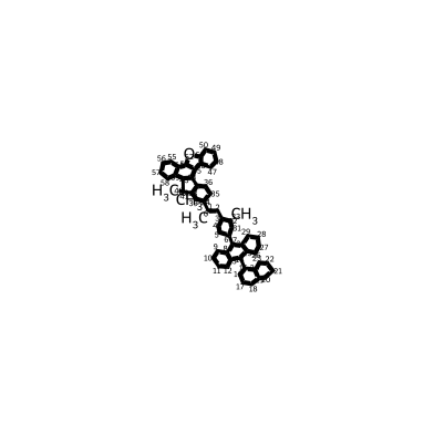 C/C(=C\c1ccc(-c2c3ccccc3c(-c3cccc4ccccc34)c3ccccc23)cc1C)c1ccc2c(c1)C(C)(C)c1c-2c2c3ccccc3oc2c2ccccc12